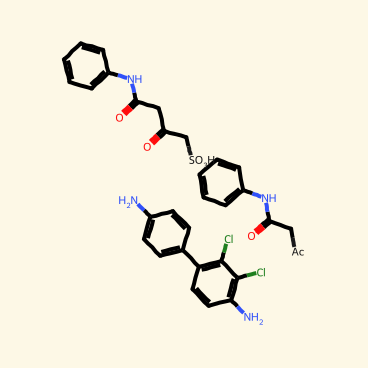 CC(=O)CC(=O)Nc1ccccc1.Nc1ccc(-c2ccc(N)c(Cl)c2Cl)cc1.O=C(CC(=O)Nc1ccccc1)CS(=O)(=O)O